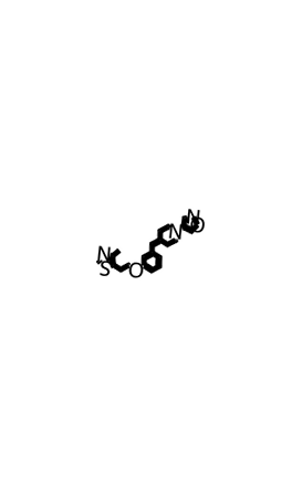 Cc1ncsc1CCOc1cccc(C=C2CCN(c3cnoc3)CC2)c1